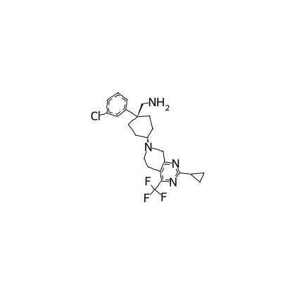 NC[C@]1(c2cccc(Cl)c2)CC[C@H](N2CCc3c(nc(C4CC4)nc3C(F)(F)F)C2)CC1